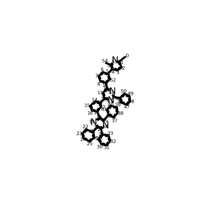 Cc1ccc(-c2cccc(-c3cc(-c4cccc(-c5nc(-c6ccccc6)c(-c6ccccc6)nc5-c5ccccc5)c4)nc(-c4ccccc4)n3)c2)c(C)n1